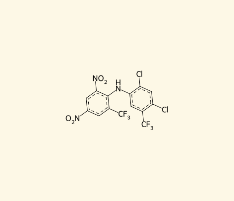 O=[N+]([O-])c1cc([N+](=O)[O-])c(Nc2cc(C(F)(F)F)c(Cl)cc2Cl)c(C(F)(F)F)c1